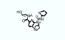 C[C@@H](CO)NC(=O)c1ccc2c(n1)N(C(=O)Nc1ccccn1)[C@H]1CCN2C1